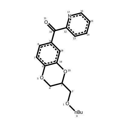 CCCCOCC1COc2ccc(C(=O)c3ccccn3)cc2O1